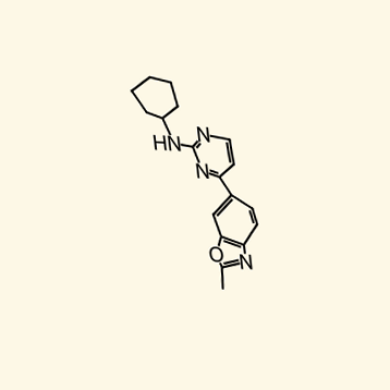 Cc1nc2ccc(-c3ccnc(NC4CCCCC4)n3)cc2o1